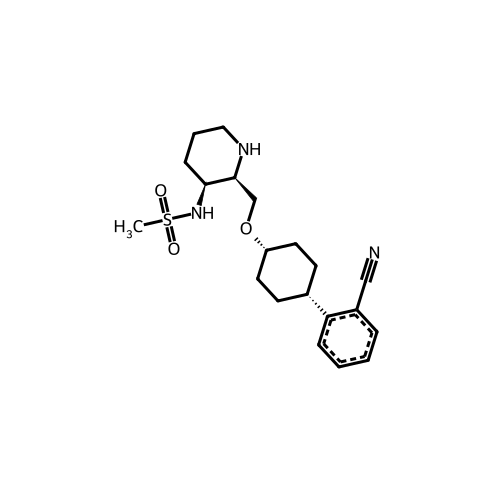 CS(=O)(=O)N[C@H]1CCCN[C@H]1CO[C@H]1CC[C@@H](c2ccccc2C#N)CC1